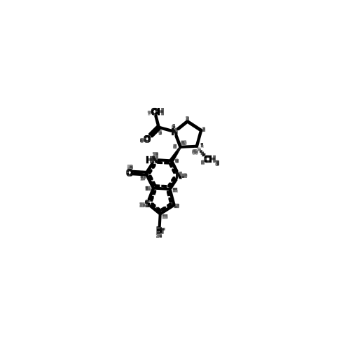 C[C@H]1CCN(C(=O)O)[C@@H]1c1nc2cc(Br)sc2c(=O)[nH]1